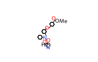 COC(=O)c1ccc(COc2cccc(CN(C(=O)O[C@H]3CN4CCC3CC4)c3ccccc3)c2)cc1